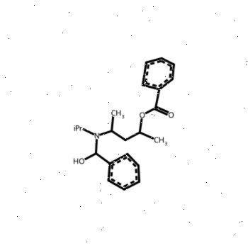 CC(CC(C)N(C(C)C)C(O)c1ccccc1)OC(=O)c1ccccc1